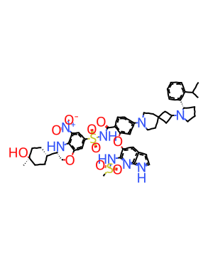 CC(C)c1ccccc1[C@@H]1CCCN1C1CC2(CCN(c3ccc(C(=O)NS(=O)(=O)c4cc5c(c([N+](=O)[O-])c4)N[C@@H]([C@H]4CC[C@](C)(O)CC4)CO5)c(Oc4cc5cc[nH]c5nc4NS(C)(=O)=O)c3)CC2)C1